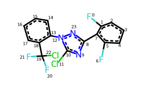 Fc1cccc(F)c1-c1nc(Cl)n(-c2ccccc2C(F)(F)Cl)n1